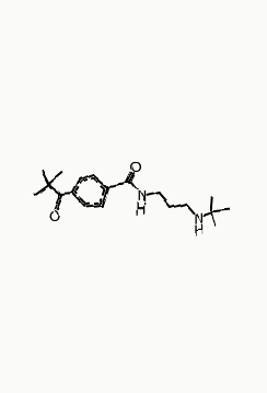 CC(C)(C)NCCCNC(=O)c1ccc(C(=O)C(C)(C)C)cc1